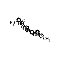 CN1CCN(c2cccc(C3(O)CCC(N4CC[C@H]5[C@@H]4CCN5C(=O)CNC(=O)c4cccc(C(F)(F)F)c4)CC3)n2)CC1